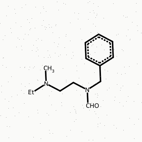 CCN(C)CCN(C=O)Cc1ccccc1